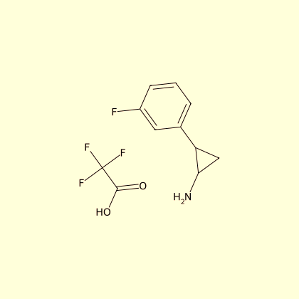 NC1CC1c1cccc(F)c1.O=C(O)C(F)(F)F